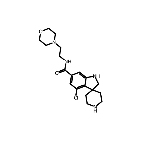 O=C(NCCN1CCOCC1)c1cc(Cl)c2c(c1)NCC21CCNCC1